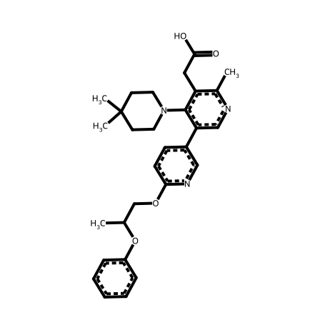 Cc1ncc(-c2ccc(OCC(C)Oc3ccccc3)nc2)c(N2CCC(C)(C)CC2)c1CC(=O)O